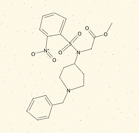 COC(=O)CN(C1CCN(Cc2ccccc2)CC1)S(=O)(=O)c1ccccc1[N+](=O)[O-]